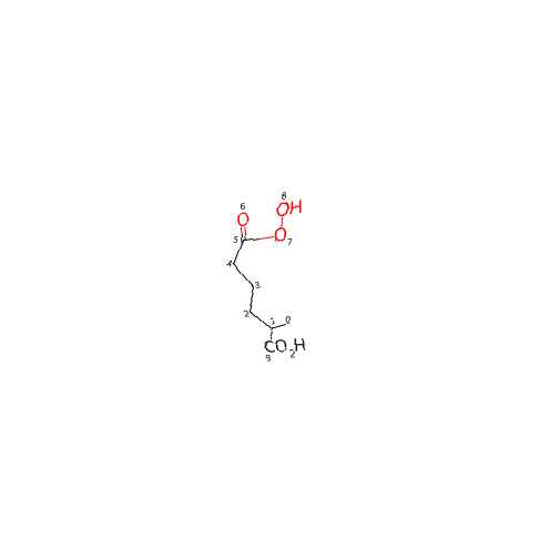 CC(CCCC(=O)OO)C(=O)O